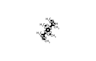 CC(=O)Oc1c2c(c(OC(C)=O)c3c1SC(=c1c(C)nn4nc(C)nc14)S3)SC(=C1c3nc(C)nn3NC1C)S2